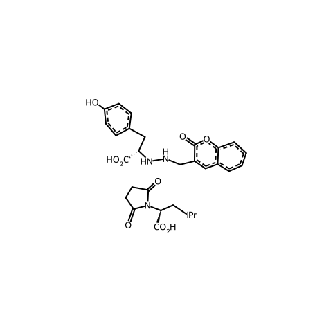 CC(C)C[C@@H](C(=O)O)N1C(=O)CCC1=O.O=C(O)[C@H](Cc1ccc(O)cc1)NNCc1cc2ccccc2oc1=O